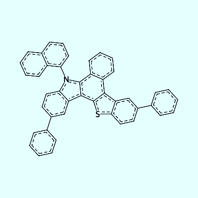 c1ccc(-c2ccc3sc4c(c3c2)c2ccccc2c2c4c3cc(-c4ccccc4)ccc3n2-c2cccc3ccccc23)cc1